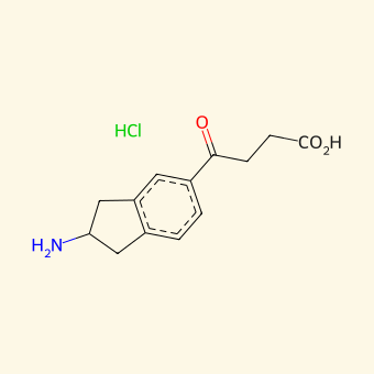 Cl.NC1Cc2ccc(C(=O)CCC(=O)O)cc2C1